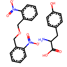 NC(Cc1ccc(O)cc1)C(=O)O.O=[N+]([O-])c1ccccc1COCc1ccccc1[N+](=O)[O-]